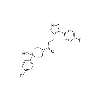 O=C(CCc1cnoc1-c1ccc(F)cc1)N1CCC(O)(c2ccc(Cl)cc2)CC1